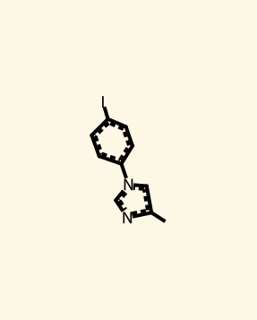 Cc1cn(-c2ccc(I)cc2)cn1